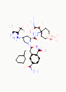 CC(C)(O)c1cnnn1[C@H]1C[C@@H](C(=O)NC2(C(=O)C(N)=O)CCS(O)(O)CC2)N(C(=O)[C@H](CC2CCCCC2)c2cc(C(N)=O)ccc2C(N)=O)C1